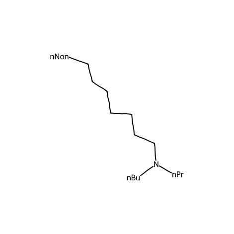 CCCCCCCCCCCCCCCCN(CCC)CCCC